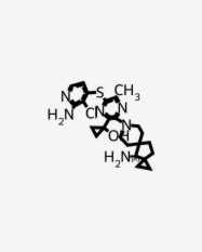 Cc1nc(N2CCC3(CC2)CCC2(CC2)[C@H]3N)c(C2(O)CC2)nc1Sc1ccnc(N)c1Cl